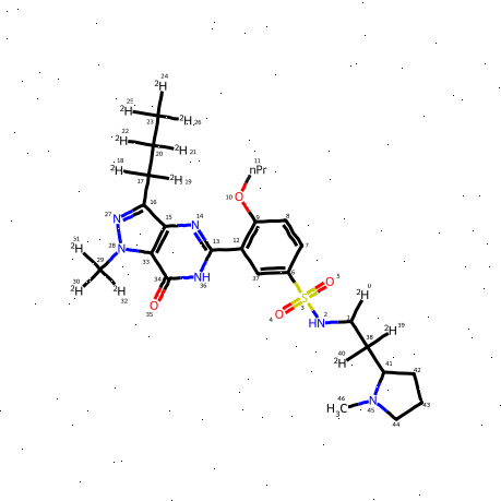 [2H]C(NS(=O)(=O)c1ccc(OCCC)c(-c2nc3c(C([2H])([2H])C([2H])([2H])C([2H])([2H])[2H])nn(C([2H])([2H])[2H])c3c(=O)[nH]2)c1)C([2H])([2H])C1CCCN1C